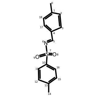 Cc1ccc(C=NS(=O)(=O)c2ccc(C)cc2)cc1